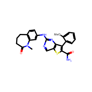 COc1ccccc1-c1c(C(N)=O)sc2cnc(Nc3ccc4c(c3)N(C)C(=O)CCC4)nc12